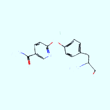 Cl.NC(=O)c1ccc(Oc2ccc(CC(N)CO)cc2)nc1